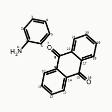 Nc1ccccc1.O=C1c2ccccc2C(=O)c2ccccc21